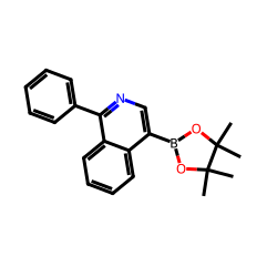 CC1(C)OB(c2cnc(-c3ccccc3)c3ccccc23)OC1(C)C